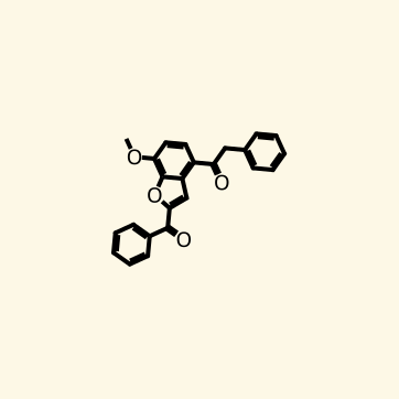 COc1ccc(C(=O)Cc2ccccc2)c2cc(C(=O)c3ccccc3)oc12